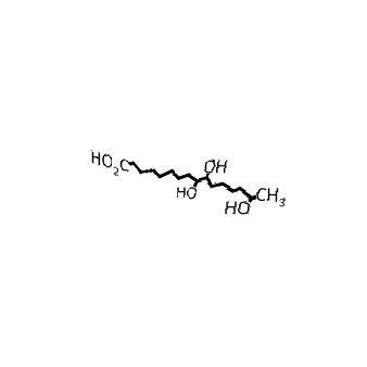 CC(O)CCCCC(O)C(O)CCCCCCCC(=O)O